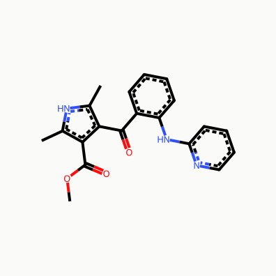 COC(=O)c1c(C)[nH]c(C)c1C(=O)c1ccccc1Nc1ccccn1